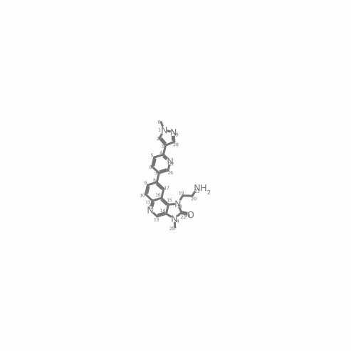 Cn1cc(-c2ccc(-c3ccc4ncc5c(c4c3)n(CCN)c(=O)n5C)cn2)cn1